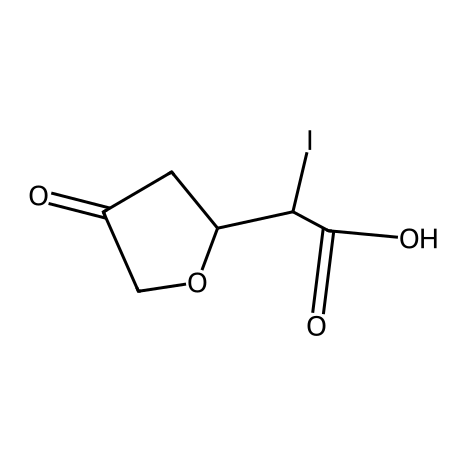 O=C1COC(C(I)C(=O)O)C1